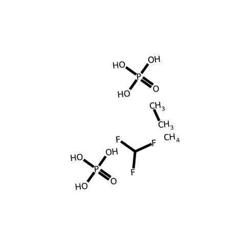 C.CC.FC(F)F.O=P(O)(O)O.O=P(O)(O)O